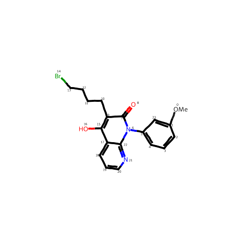 COc1cccc(-n2c(=O)c(CCCCBr)c(O)c3cccnc32)c1